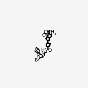 CC(=O)N1c2ccc(-c3ccc(C(=O)NCc4cn5cc(Br)nc(N6CCOCC6)c5n4)cc3)cc2CC[C@@H]1C